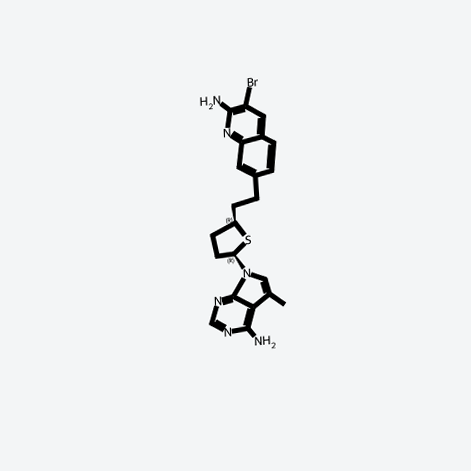 Cc1cn([C@H]2CC[C@@H](CCc3ccc4cc(Br)c(N)nc4c3)S2)c2ncnc(N)c12